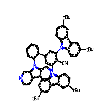 CC(C)(C)c1ccc2c(c1)c1cc(C(C)(C)C)ccc1n2-c1cc(-c2ccccc2-n2c3cnccc3c3ccncc32)cc(-n2c3ccc(C(C)(C)C)cc3c3cc(C(C)(C)C)ccc32)c1C#N